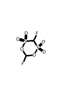 O=S1(=O)OC(F)OS(=O)(=O)C1F